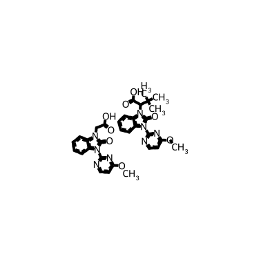 COc1ccnc(-n2c(=O)n(C(C(=O)O)C(C)(C)C)c3ccccc32)n1.COc1ccnc(-n2c(=O)n(CC(=O)O)c3ccccc32)n1